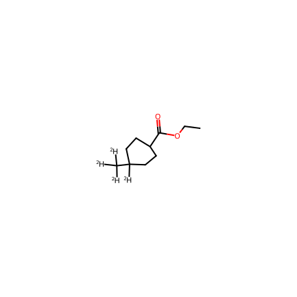 [2H]C([2H])([2H])C1([2H])CCC(C(=O)OCC)CC1